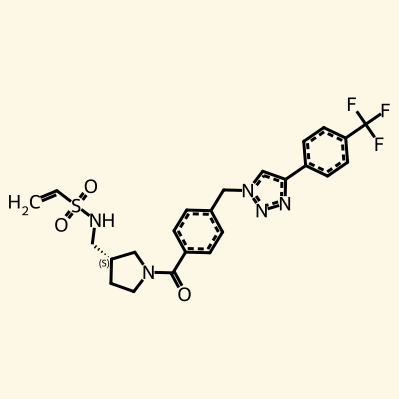 C=CS(=O)(=O)NC[C@H]1CCN(C(=O)c2ccc(Cn3cc(-c4ccc(C(F)(F)F)cc4)nn3)cc2)C1